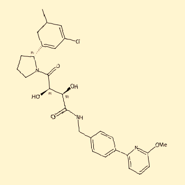 COc1cccc(-c2ccc(CNC(=O)[C@H](O)[C@@H](O)C(=O)N3CCC[C@@H]3C3=CC(Cl)=CC(C)C3)cc2)n1